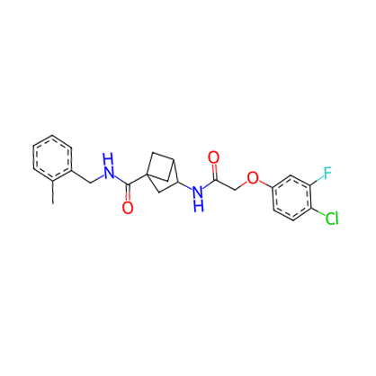 Cc1ccccc1CNC(=O)C12CC(C1)C(NC(=O)COc1ccc(Cl)c(F)c1)C2